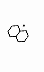 C1CC[C@H]2COCCC2C1